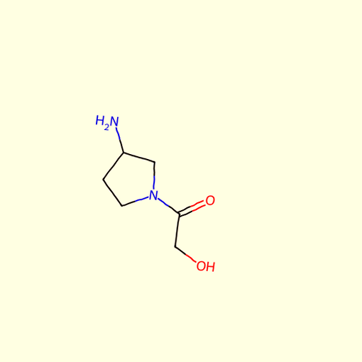 NC1CCN(C(=O)CO)C1